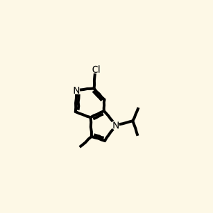 Cc1cn(C(C)C)c2cc(Cl)ncc12